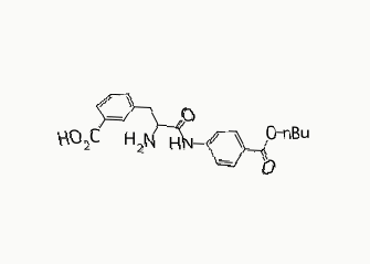 CCCCOC(=O)c1ccc(NC(=O)C(N)Cc2cccc(C(=O)O)c2)cc1